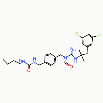 CCCCNC(=O)NCc1ccc(CN(C=O)C(=N)NC(C)(C)Cc2cc(F)cc(F)c2)cc1